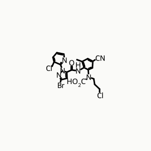 Cc1cc(C#N)cc(N(CCCCl)C(=O)O)c1NC(=O)c1cc(Br)nn1-c1ncccc1Cl